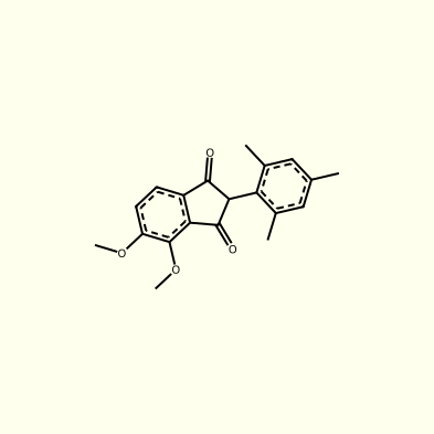 COc1ccc2c(c1OC)C(=O)C(c1c(C)cc(C)cc1C)C2=O